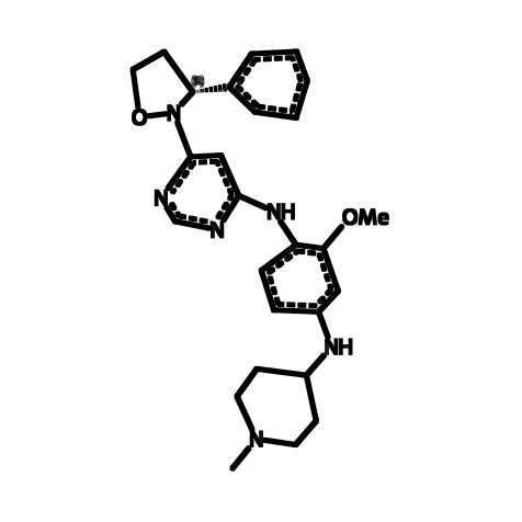 COc1cc(NC2CCN(C)CC2)ccc1Nc1cc(N2OCC[C@@H]2c2ccccc2)ncn1